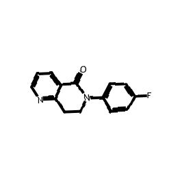 O=C1c2cccnc2CCN1c1ccc(F)cc1